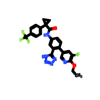 CCOc1ncc(-c2ccc(NC(=O)C3(c4ccc(C(F)(F)F)cc4)CC3)cc2-c2nnn[nH]2)cc1F